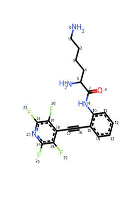 NCCCCC(N)C(=O)Nc1ccccc1C#Cc1c(F)c(F)nc(F)c1F